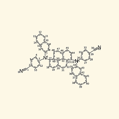 N#Cc1ccc(N(c2ccc3ccccc3c2)c2ccc3ccc4c(N(c5ccc(C#N)cc5)c5ccc6ccccc6c5)ccc5ccc2c3c54)cc1